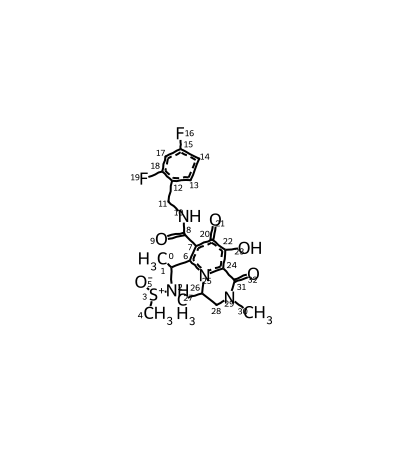 CC(N[S+](C)[O-])c1c(C(=O)NCc2ccc(F)cc2F)c(=O)c(O)c2n1C(C)CN(C)C2=O